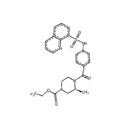 CCOC(=O)N1CCN(C(=O)c2ccc(NS(=O)(=O)c3cccc4cccnc34)cc2)[C@@H](C)C1